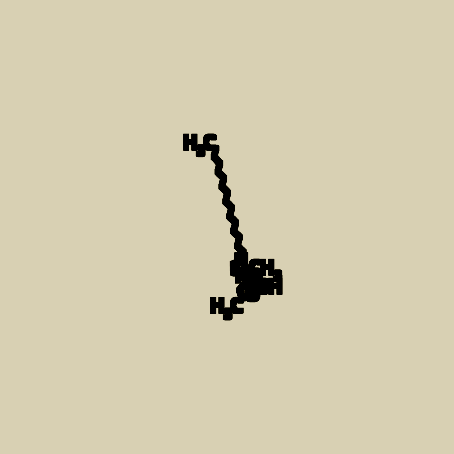 CCCCCCCCCCCCCCCCN1C=CN(C(CCC)S(=O)(=O)O)C1C